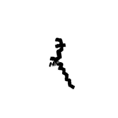 CCCCCCCCCNC(C)CCCC(C)(C)CC